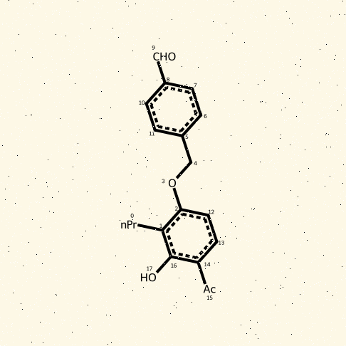 CCCc1c(OCc2ccc(C=O)cc2)ccc(C(C)=O)c1O